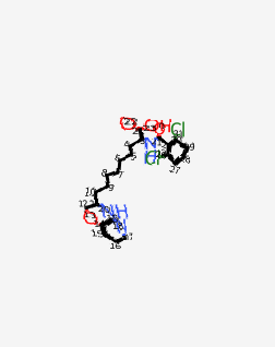 O=C(NC(CCCCCCCC1COc2cccnc2N1)C(=O)O)c1c(Cl)cccc1Cl